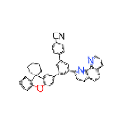 N#Cc1ccc(-c2cc(-c3ccc4c(c3)C3(CCCCC3)c3ccccc3O4)cc(-c3ccc4ccc5cccnc5c4n3)c2)cc1